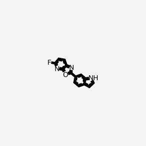 Fc1ccc2nc(-c3ccc4cc[nH]c4c3)oc2n1